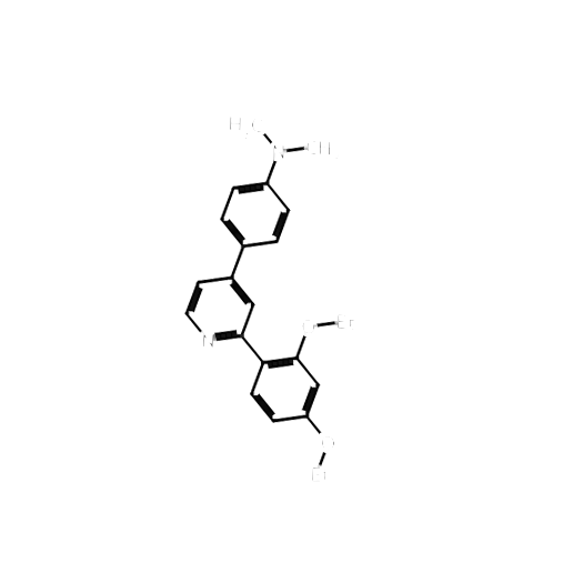 CCOc1ccc(-c2cc(-c3ccc(N(C)C)cc3)ccn2)c(OCC)c1